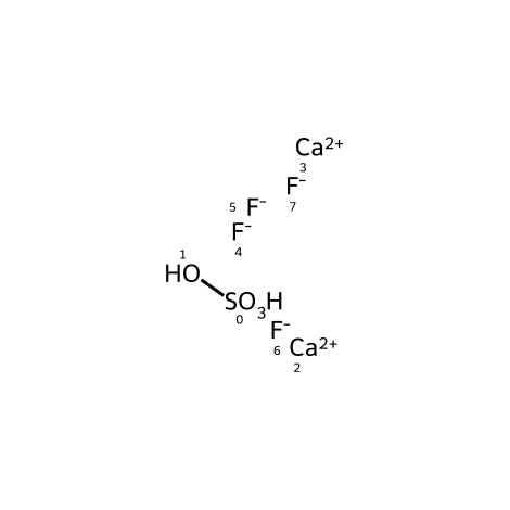 O=S(=O)(O)O.[Ca+2].[Ca+2].[F-].[F-].[F-].[F-]